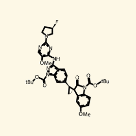 COc1ccc2c(c1)[C@]1(C[C@H]1c1ccc3c(Nc4nc(N5CC[C@@H](F)C5)ncc4OC)nn(C(=O)OC(C)(C)C)c3c1)C(=O)N2C(=O)OC(C)(C)C